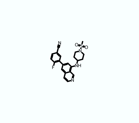 CS(=O)(=O)N1CCC(Nc2cc(-c3cc(C#N)ccc3F)cc3ccncc23)CC1